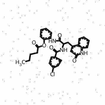 CCCCC(=O)Oc1ccccc1NC(=O)C(Cc1cc(=O)[nH]c2ccccc12)NC(=O)c1ccc(Cl)cc1